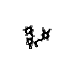 O=C(CCc1ccc(F)c(F)c1)N1C(=O)OCC1Cc1ccccc1